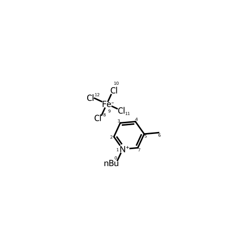 CCCC[n+]1cccc(C)c1.[Cl][Fe-]([Cl])([Cl])[Cl]